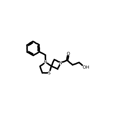 O=C(CCO)N1CC2(C1)SCCN2Cc1ccccc1